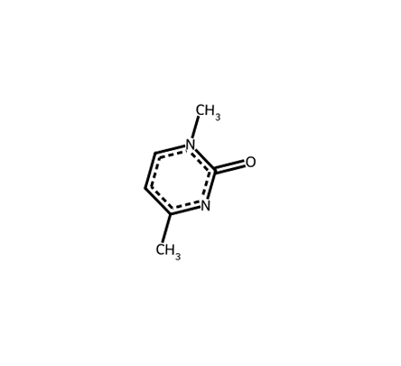 Cc1ccn(C)c(=O)n1